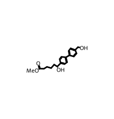 COC(=O)CCCC[C@@H](O)c1ccc(-c2ccc(CO)cc2)cc1